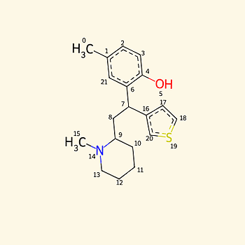 Cc1ccc(O)c(C(CC2CCCCN2C)c2ccsc2)c1